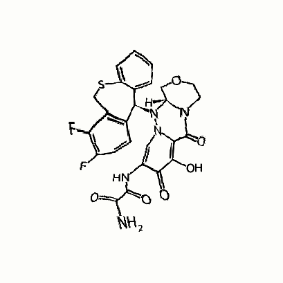 NC(=O)C(=O)Nc1cn2c(c(O)c1=O)C(=O)N1CCOC[C@H]1N2[C@@H]1c2ccccc2SCc2c1ccc(F)c2F